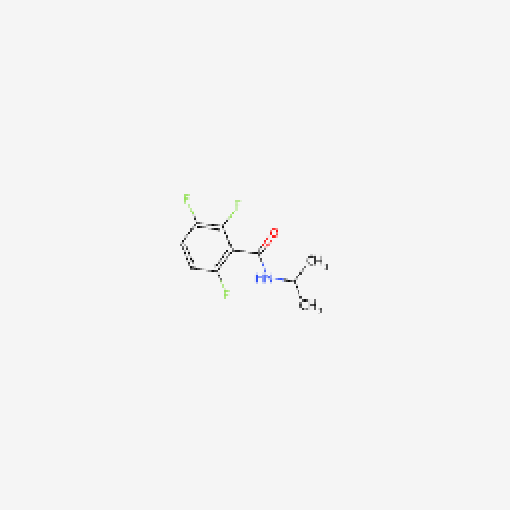 CC(C)NC(=O)c1c(F)ccc(F)c1F